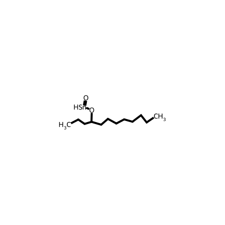 CCCCCCCCC(CCC)[O][SnH]=[O]